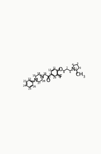 CC1CCCN1CCCOc1ccc(C(=O)CN2CCN(c3ccccc3)CC2)cc1F